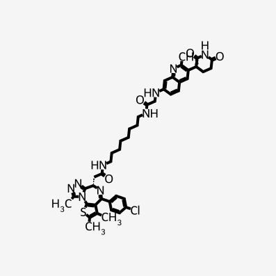 Cc1nc2cc(NCC(=O)NCCCCCCCCNC(=O)C[C@@H]3N=C(c4ccc(Cl)cc4)c4c(sc(C)c4C)-n4c(C)nnc43)ccc2cc1C1CCC(=O)NC1=O